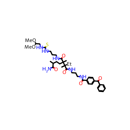 CCC(C)(C(=O)NCCCNC(=O)c1ccc(C(=O)c2ccccc2)cc1)C(C)(CCC(C)C(N)=O)C(=O)NCCCNC(=S)NCC(OC)OC